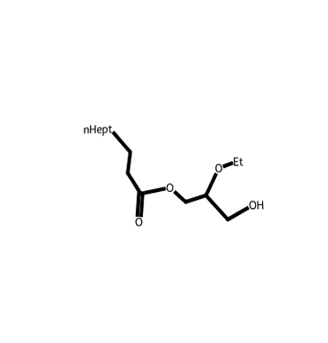 CCCCCCCCCC(=O)OCC(CO)OCC